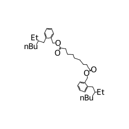 CCCCC(CC)Cc1ccccc1COC(=O)CCCCCCCC(=O)OCc1ccccc1CC(CC)CCCC